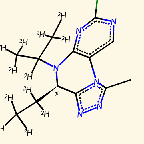 [2H]C([2H])([2H])C([2H])([2H])[C@@H]1c2nnc(C)n2-c2cnc(Cl)nc2N1C([2H])(C([2H])([2H])[2H])C([2H])([2H])[2H]